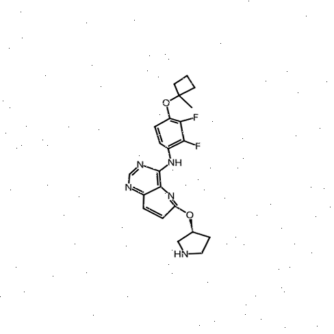 CC1(Oc2ccc(Nc3ncnc4ccc(O[C@H]5CCNC5)nc34)c(F)c2F)CCC1